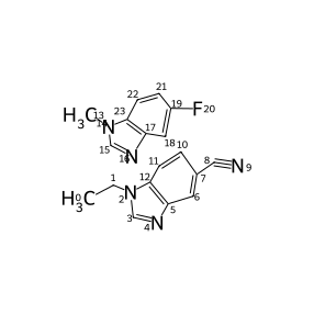 CCn1cnc2cc(C#N)ccc21.Cn1cnc2cc(F)ccc21